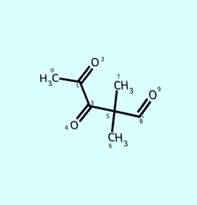 CC(=O)C(=O)C(C)(C)[C]=O